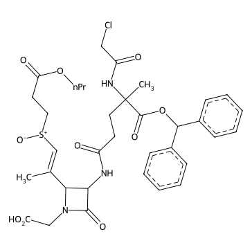 CCCOC(=O)CC[S+]([O-])C=C(C)C1C(NC(=O)CCC(C)(NC(=O)CCl)C(=O)OC(c2ccccc2)c2ccccc2)C(=O)N1CC(=O)O